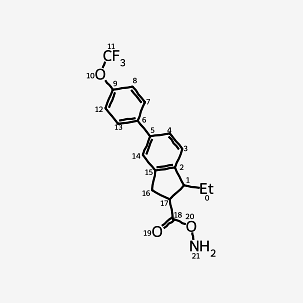 CCC1c2ccc(-c3ccc(OC(F)(F)F)cc3)cc2CC1C(=O)ON